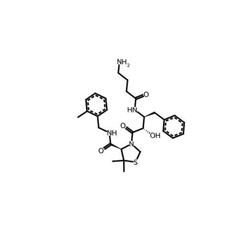 Cc1ccccc1CNC(=O)[C@H]1N(C(=O)[C@@H](O)[C@H](Cc2ccccc2)NC(=O)CCCN)CSC1(C)C